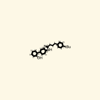 CC(C)(C)c1ccc(CCCc2nc3cc(-c4ccccc4O)ccc3[nH]2)cc1